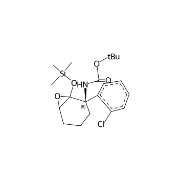 CC(C)(C)OC(=O)N[C@@]1(c2ccccc2Cl)CCCC2OC21O[Si](C)(C)C